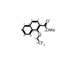 COC(=O)c1ccc2ccccc2c1OCC(F)(F)F